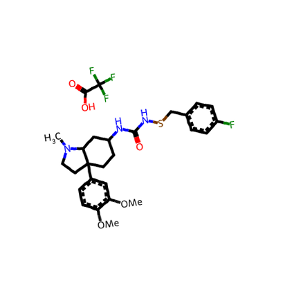 COc1ccc(C23CCC(NC(=O)NSCc4ccc(F)cc4)CC2N(C)CC3)cc1OC.O=C(O)C(F)(F)F